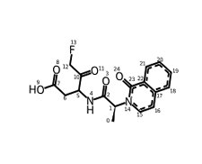 C[C@@H](C(=O)NC(CC(=O)O)C(=O)CF)n1ccc2ccccc2c1=O